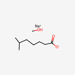 CC(C)CCCCC(=O)[O-].CO.[Na+]